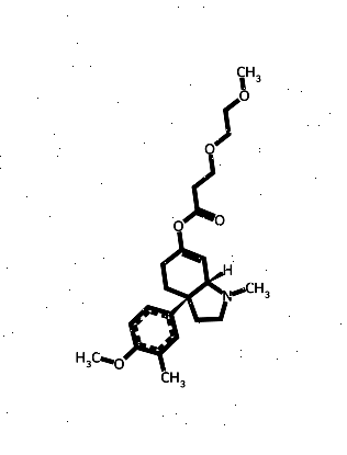 COCCOCCC(=O)OC1=C[C@@H]2N(C)CC[C@]2(c2ccc(OC)c(C)c2)CC1